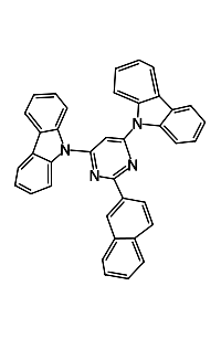 c1ccc2cc(-c3nc(-n4c5ccccc5c5ccccc54)cc(-n4c5ccccc5c5ccccc54)n3)ccc2c1